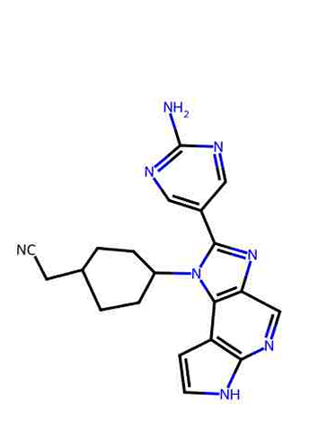 N#CCC1CCC(n2c(-c3cnc(N)nc3)nc3cnc4[nH]ccc4c32)CC1